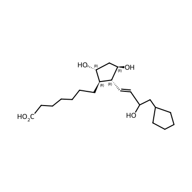 O=C(O)CCCCCC[C@@H]1[C@@H](C=CC(O)CC2CCCC2)[C@H](O)C[C@H]1O